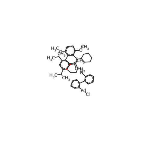 COc1ccc(OC)c(P(C2CCCCC2)C2CCCCC2)c1-c1c(C(C)C)cc(C(C)C)cc1C(C)C.Nc1ccccc1-c1cccc[c]1[Pd][Cl]